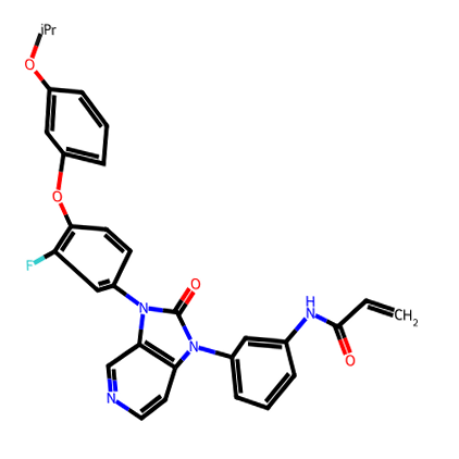 C=CC(=O)Nc1cccc(-n2c(=O)n(-c3ccc(Oc4cccc(OC(C)C)c4)c(F)c3)c3cnccc32)c1